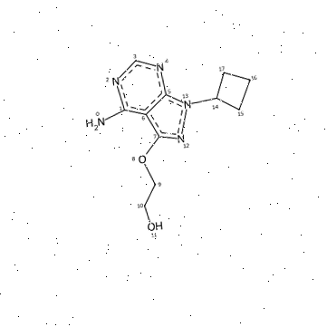 Nc1ncnc2c1c(OCCO)nn2C1CCC1